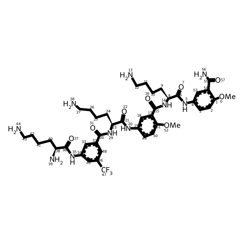 COc1ccc(NC(=O)[C@H](CCCCN)NC(=O)c2cc(NC(=O)[C@H](CCCCN)NC(=O)c3cc(NC(=O)[C@@H](N)CCCCN)cc(C(F)(F)F)c3)ccc2OC)cc1C(N)=O